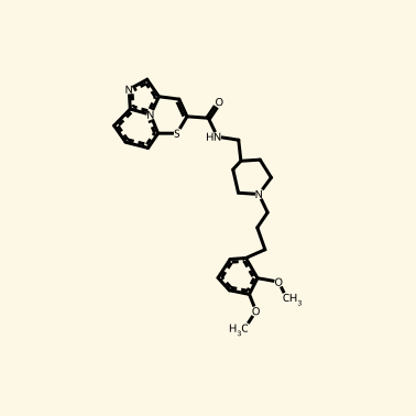 COc1cccc(CCCN2CCC(CNC(=O)C3=Cc4cnc5cccc(n45)S3)CC2)c1OC